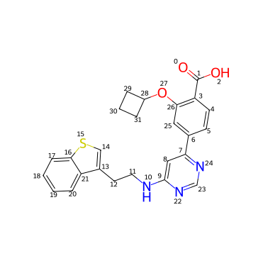 O=C(O)c1ccc(-c2cc(NCCc3csc4ccccc34)ncn2)cc1OC1CCC1